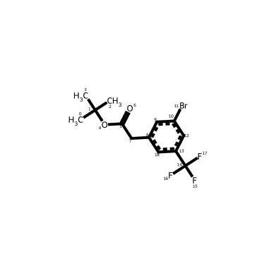 CC(C)(C)OC(=O)Cc1cc(Br)cc(C(F)(F)F)c1